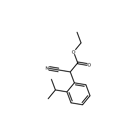 CCOC(=O)C(C#N)c1ccccc1C(C)C